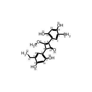 Bc1cc(C2=C(OC)C(c3cc(CC)c(O)cc3O)C2=O)c(O)cc1O